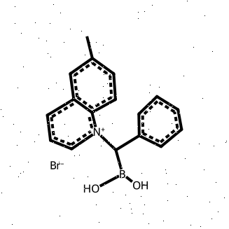 Cc1ccc2c(ccc[n+]2C(B(O)O)c2ccccc2)c1.[Br-]